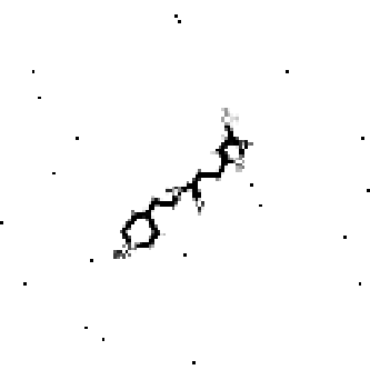 CC(C)N1CCC(CCNC(=O)CCc2cc(O)no2)CC1